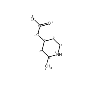 CCC(=O)OC1CCNC(C)C1